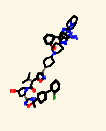 CC(C)[C@@H](C(=O)N1C[C@H](O)C[C@H]1C1=NO[C@@](C)(c2ccc(-c3ccccc3F)cc2)N1)c1cc([C@H]2CC[C@H](N3CCC(c4cnc(N5C6CCC5CN(c5cc(-c7ccccc7O)nnc5N)C6)nc4)CC3)CC2)no1